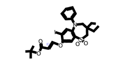 CCC1(CC)CN(c2ccccc2)c2cc(I)c(O/C=C/C(=O)OC(C)(C)C)cc2S(=O)(=O)C1